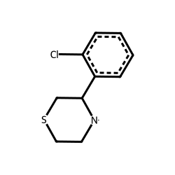 Clc1ccccc1C1CSCC[N]1